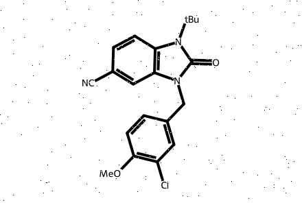 COc1ccc(Cn2c(=O)n(C(C)(C)C)c3ccc(C#N)cc32)cc1Cl